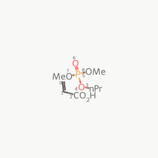 C=CC(=O)O.CCCOP(=O)(OC)OC